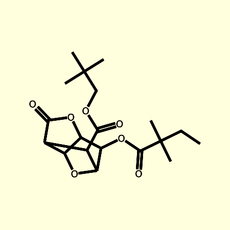 CCC(C)(C)C(=O)OC1C2OC(=O)C3C2OC1C3C(=O)OCC(C)(C)C